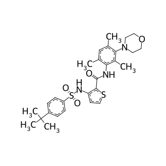 Cc1cc(C)c(N2CCOCC2)c(C)c1NC(=O)c1sccc1NS(=O)(=O)c1ccc(C(C)(C)C)cc1